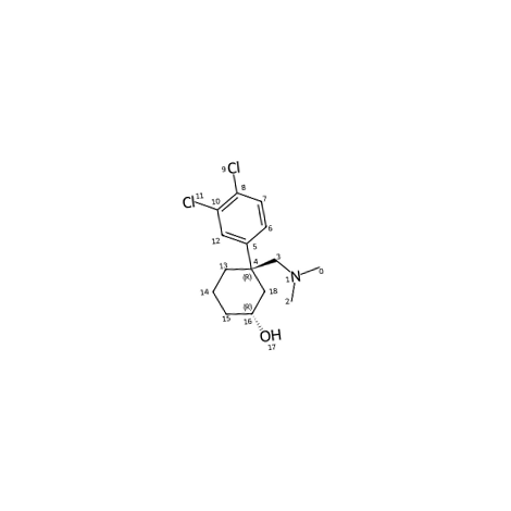 CN(C)C[C@]1(c2ccc(Cl)c(Cl)c2)CCC[C@@H](O)C1